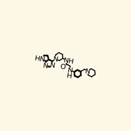 O=C(CNc1cccc(CN2CCCCC2)c1)NC1CCCN(c2ncnc3[nH]ccc23)C1